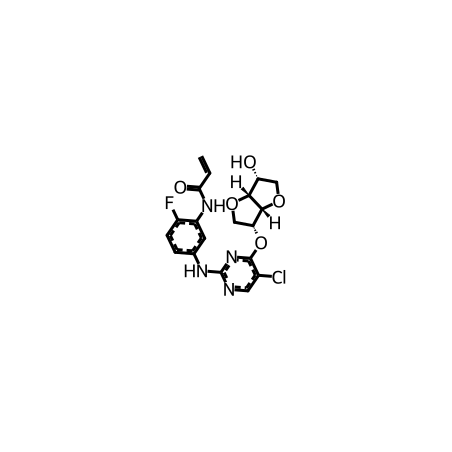 C=CC(=O)Nc1cc(Nc2ncc(Cl)c(O[C@@H]3CO[C@H]4[C@@H]3OC[C@H]4O)n2)ccc1F